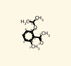 CC(=O)c1c(C)cccc1OC(C)C